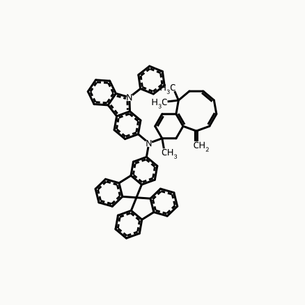 C=C1/C=C\C=C/CC(C)(C)C2=C1CC(C)(N(c1ccc3c(c1)-c1ccccc1C31c3ccccc3-c3ccccc31)c1ccc3c4ccccc4n(-c4ccccc4)c3c1)C=C2